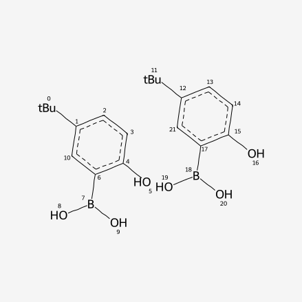 CC(C)(C)c1ccc(O)c(B(O)O)c1.CC(C)(C)c1ccc(O)c(B(O)O)c1